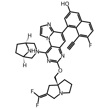 C#Cc1c(F)ccc2cc(O)cc(-c3cc4nc(OC[C@@]56CCCN5CC(=C(F)F)C6)nc(N5C[C@H]6CC[C@@H](C5)N6)c4n4ccnc34)c12